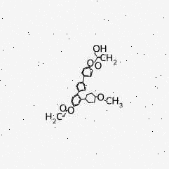 C=CC(=O)Oc1ccc(-c2ccc(-c3ccc(OC(=O)C(=C)CO)cc3)cc2)c(C2CCC(OCC)CC2)c1